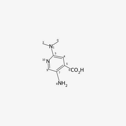 CN(C)c1cc(C(=O)O)c(N)cn1